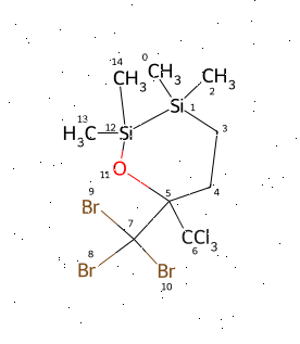 C[Si]1(C)CCC(C(Cl)(Cl)Cl)(C(Br)(Br)Br)O[Si]1(C)C